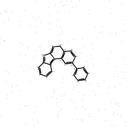 C1=C2N=c3ccccc3=C2c2cc(-c3ccccc3)ccc2C1